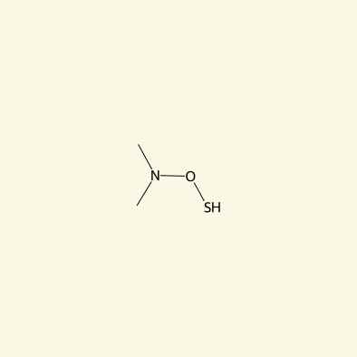 CN(C)OS